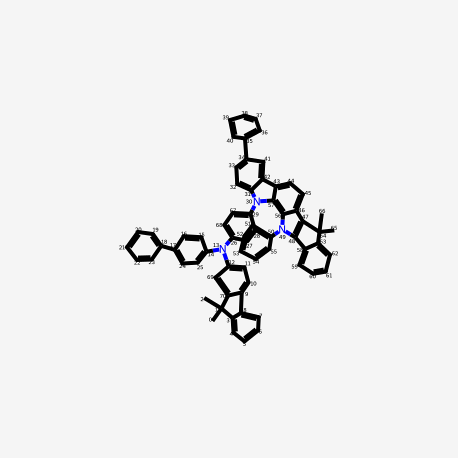 CC1(C)c2ccccc2-c2ccc(N(c3ccc(-c4ccccc4)cc3)c3ccc(-n4c5ccc(-c6ccccc6)cc5c5ccc6c7c(n(-c8ccccc8)c6c54)-c4ccccc4C7(C)C)cc3)cc21